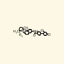 CC1(C)CCCC(C)(C)N1Cc1ccc2cc(NC(=O)c3ccc(-c4ccc(Cl)cc4Cl)cc3)ccc2n1